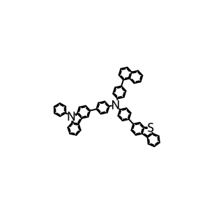 c1ccc(-n2c3ccccc3c3cc(-c4ccc(N(c5ccc(-c6ccc7c(c6)sc6ccccc67)cc5)c5ccc(-c6cccc7ccccc67)cc5)cc4)ccc32)cc1